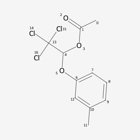 CC(=O)OC(Oc1cccc(C)c1)C(Cl)(Cl)Cl